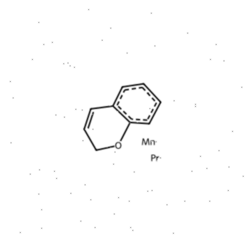 C1=Cc2ccccc2OC1.[Mn].[Pr]